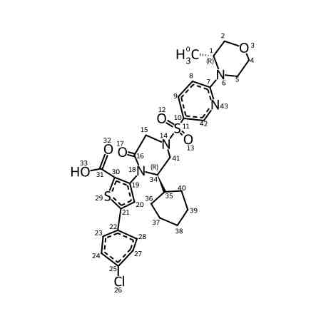 C[C@@H]1COCCN1c1ccc(S(=O)(=O)N2CC(=O)N(c3cc(-c4ccc(Cl)cc4)sc3C(=O)O)[C@H](C3CCCCC3)C2)cn1